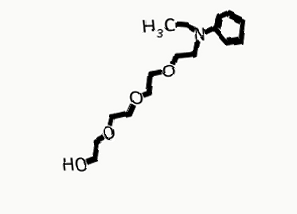 CCN(CCOCCOCCOCCO)c1ccccc1